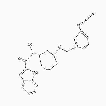 CCN(C(=O)c1cc2ccccc2[nH]1)[C@H]1CCC[C@@H](NCc2cccc(N=[N+]=[N-])c2)C1